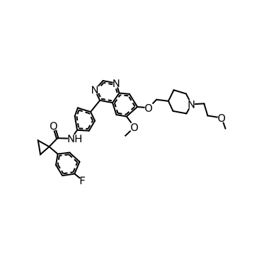 COCCN1CCC(COc2cc3ncnc(-c4ccc(NC(=O)C5(c6ccc(F)cc6)CC5)cc4)c3cc2OC)CC1